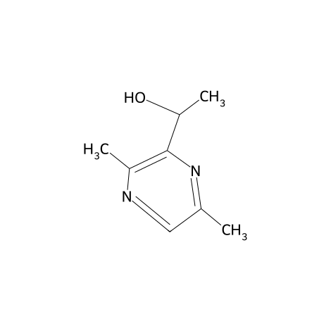 Cc1cnc(C)c(C(C)O)n1